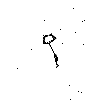 FC#Cc1c[c]sc1